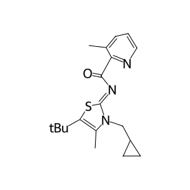 Cc1cccnc1C(=O)/N=c1\sc(C(C)(C)C)c(C)n1CC1CC1